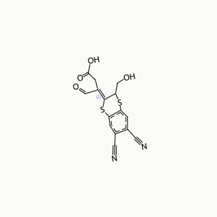 N#Cc1cc2c(cc1C#N)SC(CO)/C(=C(/C=O)CC(=O)O)S2